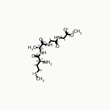 COC(=O)CNC(=O)CNC(=O)[C@H](C)NC(=O)[C@@H](N)CCSC